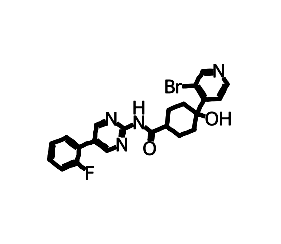 O=C(Nc1ncc(-c2ccccc2F)cn1)C1CCC(O)(c2ccncc2Br)CC1